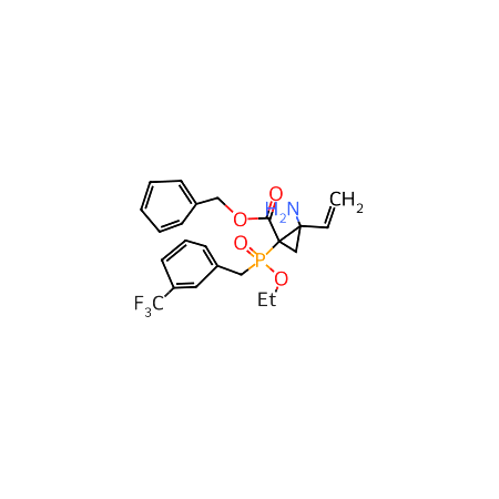 C=CC1(N)CC1(C(=O)OCc1ccccc1)P(=O)(Cc1cccc(C(F)(F)F)c1)OCC